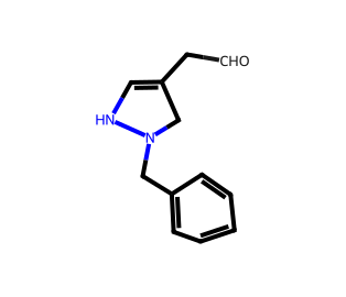 O=CCC1=CNN(Cc2ccccc2)C1